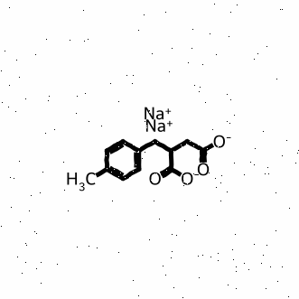 Cc1ccc(CC(CC(=O)[O-])C(=O)[O-])cc1.[Na+].[Na+]